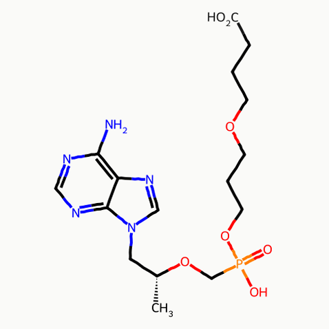 C[C@H](Cn1cnc2c(N)ncnc21)OCP(=O)(O)OCCCOCCCC(=O)O